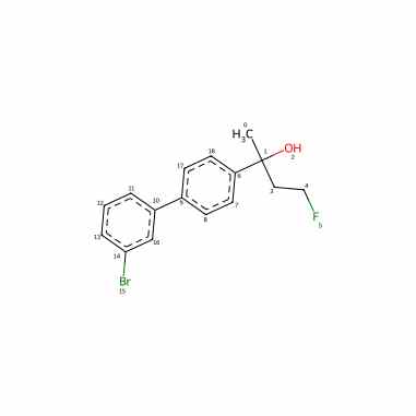 CC(O)(CCF)c1ccc(-c2cccc(Br)c2)cc1